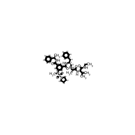 CCNC(=O)[C@@H](NC(=O)[C@H](C)NC[C@H](Cc1ccccc1)NC(=O)c1cc(C(=O)N[C@H](C)c2ccccc2)cc(N(C)S(=O)(=O)N2CCCC2)c1)C(C)C